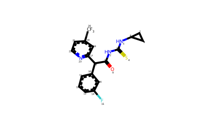 O=C(NC(=S)NC1CC1)C(c1cccc(F)c1)c1cc(C(F)(F)F)ccn1